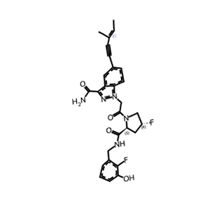 C/C=C(\C)C#Cc1ccc2c(c1)c(C(N)=O)nn2CC(=O)N1C[C@H](F)C[C@H]1C(=O)NCc1cccc(O)c1F